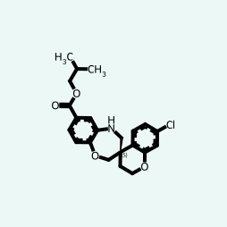 CC(C)COC(=O)c1ccc2c(c1)NC[C@@]1(CCOc3cc(Cl)ccc31)CO2